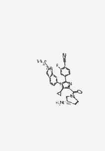 Cn1cc2ccc(-n3c(-c4ccc(C#N)c(F)c4)nc(C(=O)N4CC[C@H](N)C4)c3C3CC3)cc2n1